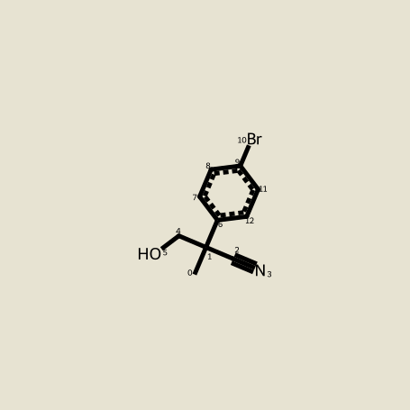 CC(C#N)(CO)c1ccc(Br)cc1